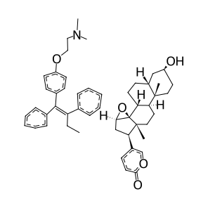 CC/C(=C(\c1ccccc1)c1ccc(OCCN(C)C)cc1)c1ccccc1.C[C@]12CC[C@H](O)C[C@H]1CC[C@@H]1[C@@H]2CC[C@]2(C)[C@@H](c3ccc(=O)oc3)C[C@H]3O[C@]132